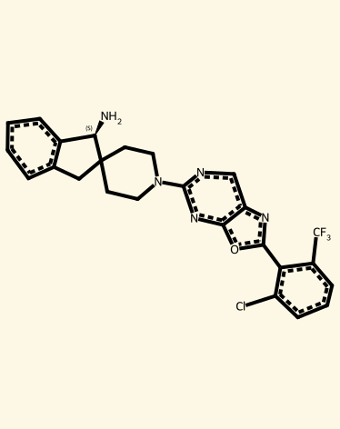 N[C@@H]1c2ccccc2CC12CCN(c1ncc3nc(-c4c(Cl)cccc4C(F)(F)F)oc3n1)CC2